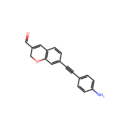 Nc1ccc(C#Cc2ccc3c(c2)OCC(C=O)=C3)cc1